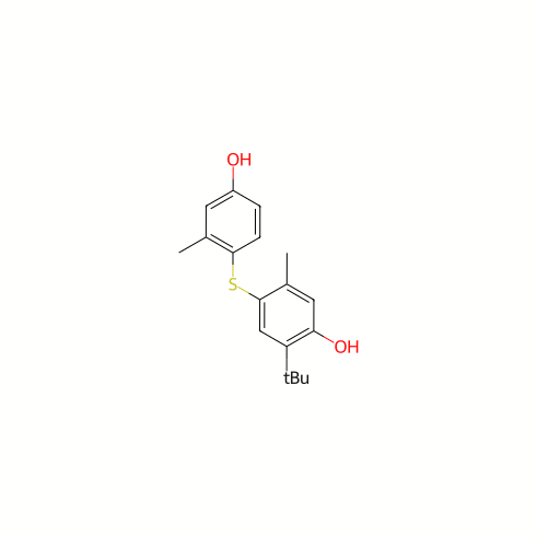 Cc1cc(O)ccc1Sc1cc(C(C)(C)C)c(O)cc1C